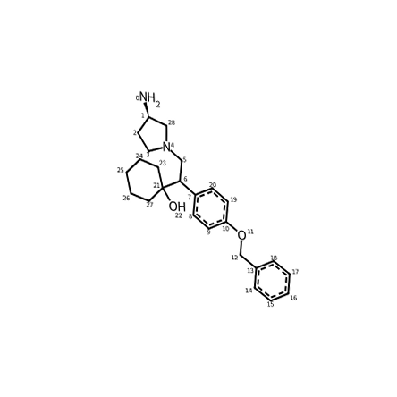 N[C@@H]1CCN(CC(c2ccc(OCc3ccccc3)cc2)C2(O)CCCCC2)C1